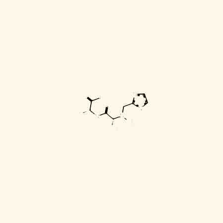 CC(C)[C@H](NC(=O)[C@H](C(C)C)N(C)Cc1ncc[nH]1)C(=O)I